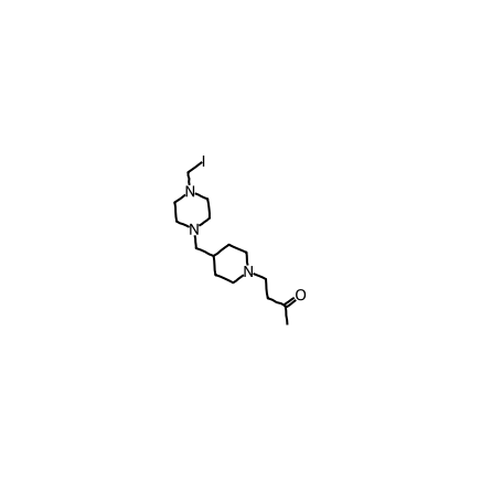 CC(=O)CCN1CCC(CN2CCN(CI)CC2)CC1